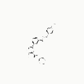 CN(C)c1ccc(CNC(=O)c2cccc(-c3cnc(N)c(C(=O)N[C@H]4CCCNC4)n3)c2)cc1